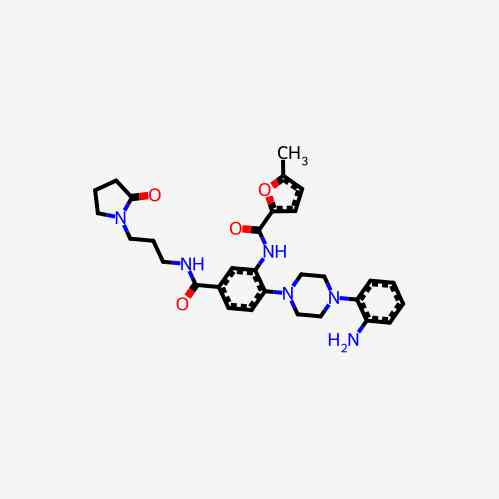 Cc1ccc(C(=O)Nc2cc(C(=O)NCCCN3CCCC3=O)ccc2N2CCN(c3ccccc3N)CC2)o1